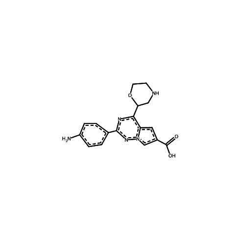 Nc1ccc(-c2nc(C3CNCCO3)c3cc(C(=O)O)cn3n2)cc1